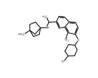 CCC1CCC(Oc2ccc3ccc(C(C)NC45CCC(C(=O)O)(CC4)C5)cc3c2C(F)(F)F)CC1